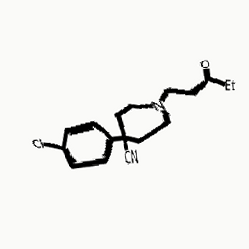 CCC(=O)CCN1CCC(C#N)(c2ccc(Cl)cc2)CC1